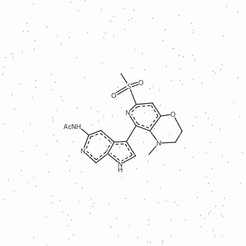 CC(=O)Nc1cc2c(-c3nc(S(C)(=O)=O)cc4c3N(C)CCO4)c[nH]c2cn1